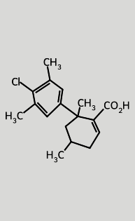 Cc1cc(C2(C)CC(C)CC=C2C(=O)O)cc(C)c1Cl